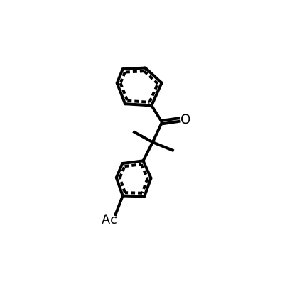 CC(=O)c1ccc(C(C)(C)C(=O)c2ccccc2)cc1